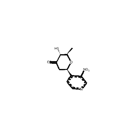 C[C@H]1O[C@@H](c2ccncc2[N+](=O)[O-])CC(=O)[C@@H]1O